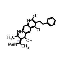 CCc1nc2ccc(C(O)/C(C(C)=N)=C(\C)NC)cc2c(Cl)c1CCc1ccccc1